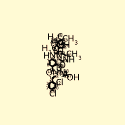 C[C@@H]1[C@@H](/N=C(/Nc2ccc3c(=O)n(CCc4ccc(Cl)cc4Cl)c(N4CC(O)C4)nc3c2)N2CC(=O)N[C@@H](C)C2)C[C@H]2C[C@@H]1C2(C)C